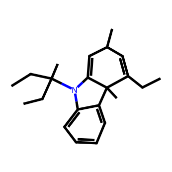 CCC1=CC(C)C=C2N(C(C)(CC)CC)c3ccccc3C12C